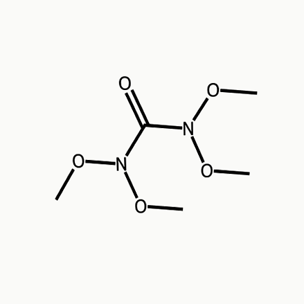 CON(OC)C(=O)N(OC)OC